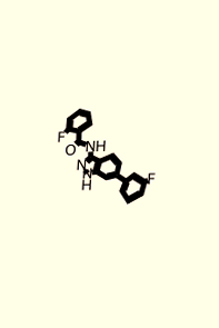 O=C(Nc1n[nH]c2cc(-c3cccc(F)c3)ccc12)c1ccccc1F